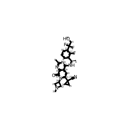 Cc1nc(N[C@H](C)c2cccc(C(F)(F)CO)c2F)c2cc(C3(C#N)CC3)n(C3CN(C)C3)c(=O)c2n1